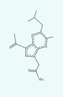 C=C(C)c1cn(CC(=C)C(C)(C)C)c2nc(C)c(CN(C)C)cc12